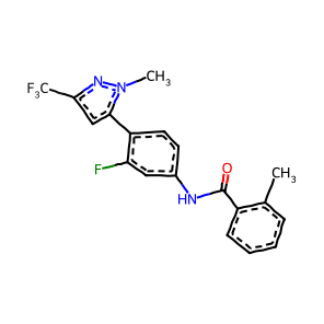 Cc1ccccc1C(=O)Nc1ccc(-c2cc(C(F)(F)F)nn2C)c(F)c1